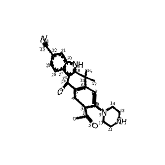 CC(=O)C1CC2=C(C=C1N1CCNCC1)C(C)(C)c1[nH]c3cc(C#N)ccc3c1C2=O